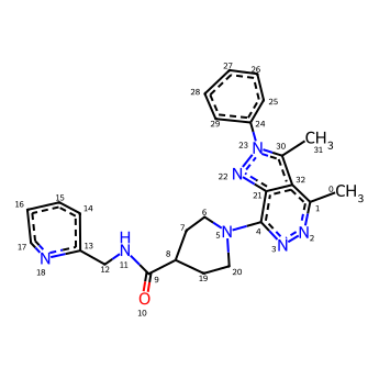 Cc1nnc(N2CCC(C(=O)NCc3ccccn3)CC2)c2nn(-c3ccccc3)c(C)c12